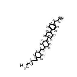 CCOCCC1CCC(CCC2CCC(C3CCC(c4ccc(CCCF)cc4)CC3)CC2)CC1